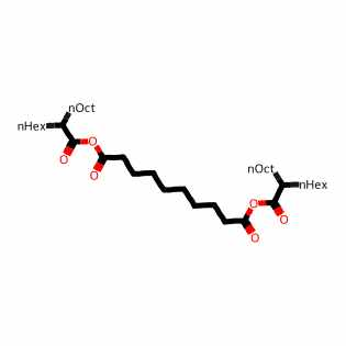 CCCCCCCCC(CCCCCC)C(=O)OC(=O)CCCCCCCCC(=O)OC(=O)C(CCCCCC)CCCCCCCC